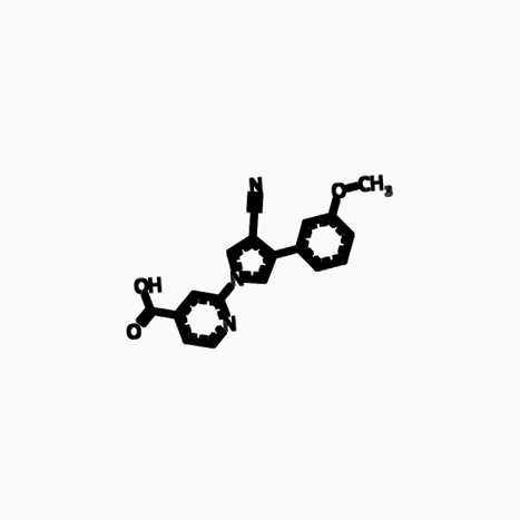 COc1cccc(-c2cn(-c3cc(C(=O)O)ccn3)cc2C#N)c1